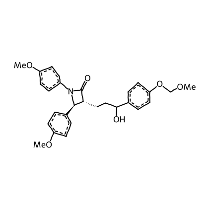 COCOc1ccc(C(O)CC[C@H]2C(=O)N(c3ccc(OC)cc3)[C@@H]2c2ccc(OC)cc2)cc1